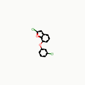 Clc1cccc(Oc2cccc3cc(Cl)oc23)c1